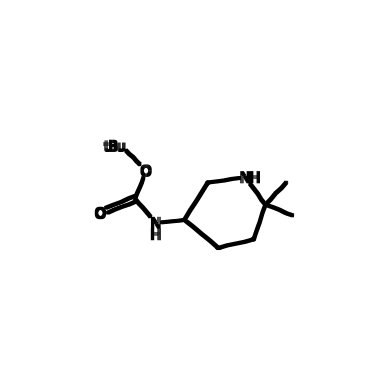 CC1(C)CCC(NC(=O)OC(C)(C)C)CN1